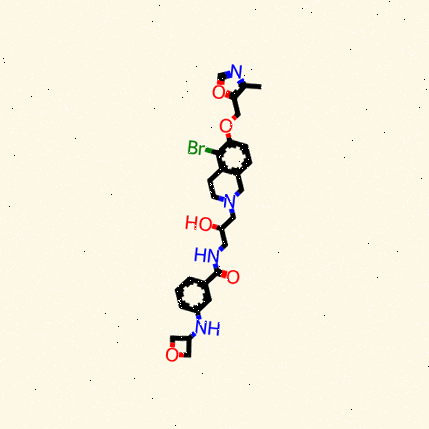 Cc1ncoc1COc1ccc2c(c1Br)CCN(CC(O)CNC(=O)c1cccc(NC3COC3)c1)C2